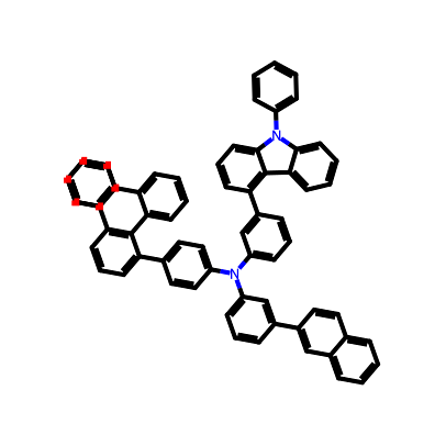 c1ccc(-c2ccccc2-c2c(-c3ccccc3)cccc2-c2ccc(N(c3cccc(-c4ccc5ccccc5c4)c3)c3cccc(-c4cccc5c4c4ccccc4n5-c4ccccc4)c3)cc2)cc1